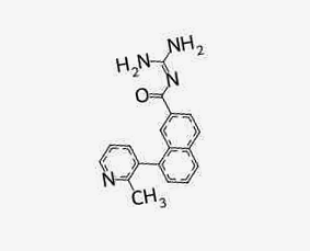 Cc1ncccc1-c1cccc2ccc(C(=O)N=C(N)N)cc12